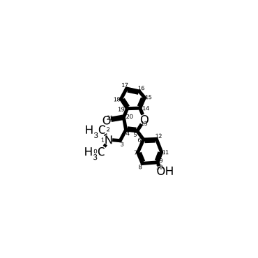 CN(C)Cc1c(-c2ccc(O)cc2)oc2ccccc2c1=O